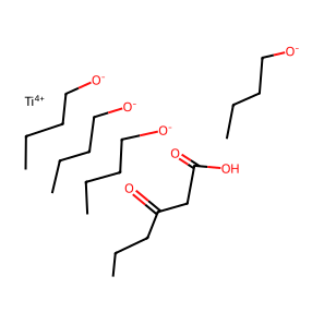 CCCC(=O)CC(=O)O.CCCC[O-].CCCC[O-].CCCC[O-].CCCC[O-].[Ti+4]